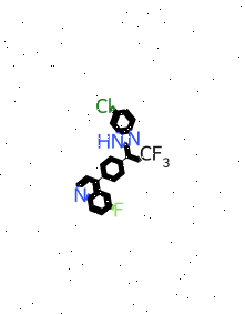 Fc1ccc2nccc([C@H]3CC[C@@H](C(CC(F)(F)F)c4nc5ccc(Cl)cc5[nH]4)CC3)c2c1